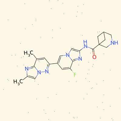 Cc1cn2nc(-c3cc(F)c4nc(NC(=O)C56CNCC(C5)C6)cn4c3)cc(C)c2n1